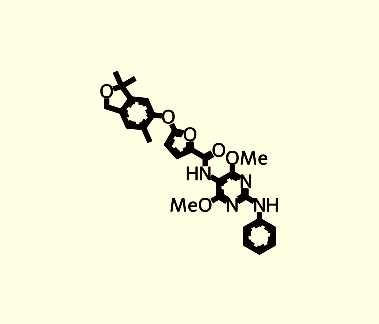 COc1nc(Nc2ccccc2)nc(OC)c1NC(=O)c1ccc(Oc2cc3c(cc2C)COC3(C)C)o1